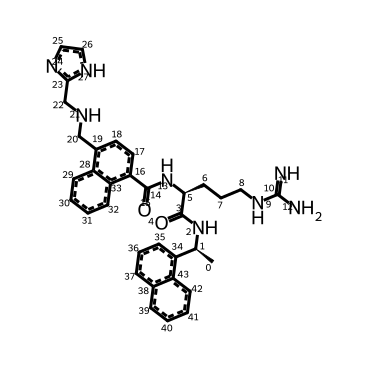 C[C@H](NC(=O)[C@H](CCCNC(=N)N)NC(=O)c1ccc(CNCc2ncc[nH]2)c2ccccc12)c1cccc2ccccc12